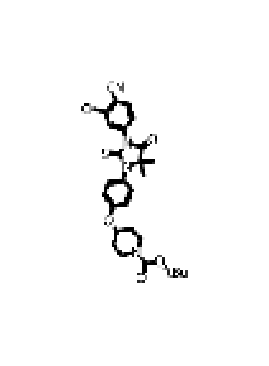 CC(C)(C)OC(=O)N1CCC(Oc2ccc(N3C(=S)N(c4ccc(C#N)c(Cl)c4)C(=O)C3(C)C)cc2)CC1